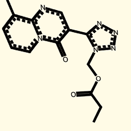 CCC(=O)OCn1nnnc1-c1cnc2c(C)cccn2c1=O